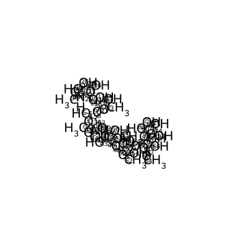 CCC1OC(CO)C(COC2OC(C)C(O)C(O)C2COCC2OC(CO)C(O)C(O)C2NC(C)=O)C(COCC2OC(CO)C(COCC3OC(C)C(O)C(COCC4OC(COC)C(O)C(O)C4OC4OC(CO)C(O)C(O)C4O)C3OC(C)=O)C(O)C2O)C1NC(C)=O